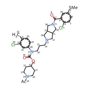 CSc1ccc(Cl)c(C(=O)N2CC3CN(CCCN(C(=O)OC4CCN(C(C)=O)CC4)c4ccc(C)c(Cl)c4)CC3C2)c1